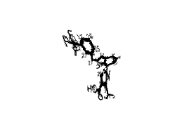 CC(C)c1nn(-c2cccc3cc(Cc4cccc(C(F)(F)F)c4)sc23)cc1C(=O)O